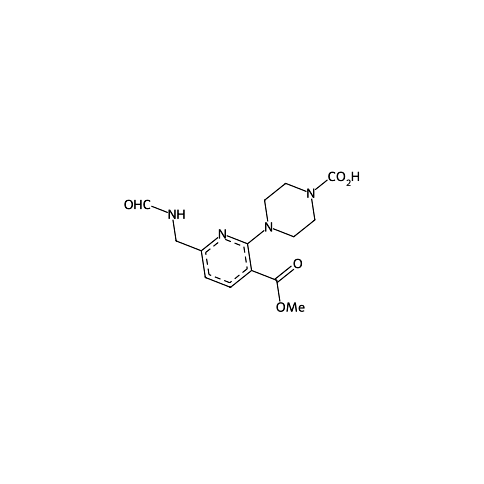 COC(=O)c1ccc(CNC=O)nc1N1CCN(C(=O)O)CC1